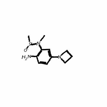 CN(c1cc(N2CCC2)ccc1N)[S+](C)[O-]